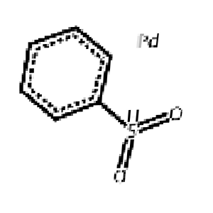 O=[SH](=O)c1ccccc1.[Pd]